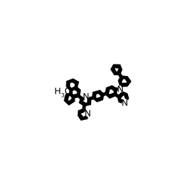 CC12C=CC=CC1=C(c1cc(-c3ccccn3)cc(-c3ccc(-c4ccc5c(c4)c4cnccc4n5-c4cccc(-c5ccccc5)c4)cc3)n1)C=C1C=CC=CC12